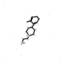 CC1=C[CH]CC=C1C1CCN(CCO)CC1